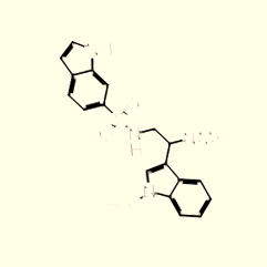 CNC(CNS(=O)(=O)c1ccc2cc[nH]c2c1)c1cn(C)c2ccccc12